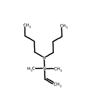 C=C[Si](C)(C)N(CCCC)CCCC